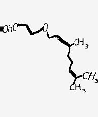 CC(C)=CCCC(C)=CCOCCC=O